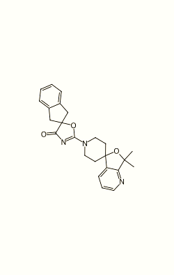 CC1(C)OC2(CCN(C3=NC(=O)C4(Cc5ccccc5C4)O3)CC2)c2cccnc21